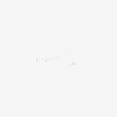 O=[SiH2].[O-2].[Zn+2]